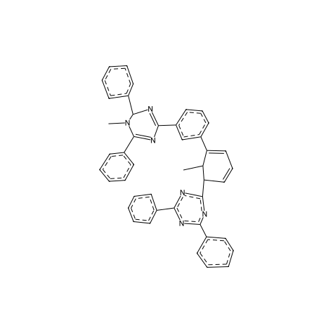 CC1C(c2cccc(C3=NC(c4ccccc4)N(C)C(c4ccccc4)=N3)c2)=CC=CC1c1nc(-c2ccccc2)nc(-c2ccccc2)n1